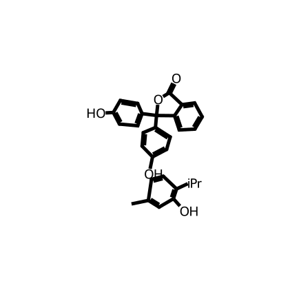 Cc1ccc(C(C)C)c(O)c1.O=C1OC(c2ccc(O)cc2)(c2ccc(O)cc2)c2ccccc21